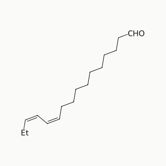 CC/C=C\C=C/CCCCCCCCCC=O